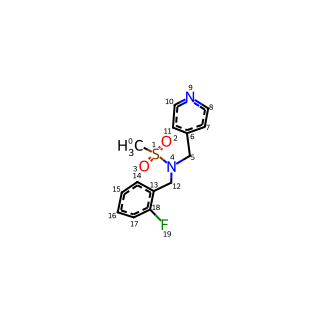 CS(=O)(=O)N(Cc1ccncc1)Cc1ccccc1F